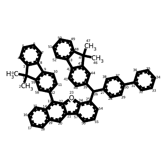 CC1(C)c2ccccc2-c2ccc(-c3c4ccccc4cc4c3oc3c(C(c5ccc(-c6ccccc6)cc5)c5ccc6c(c5)C(C)(C)c5ccccc5-6)cccc34)cc21